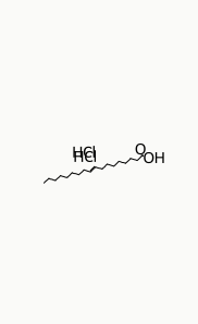 CCCCCCCCC=CCCCCCCCC(=O)O.Cl.Cl